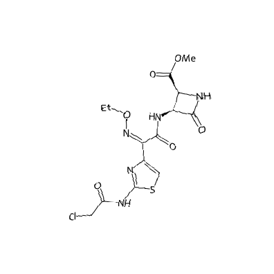 CCON=C(C(=O)N[C@@H]1C(=O)N[C@@H]1C(=O)OC)c1csc(NC(=O)CCl)n1